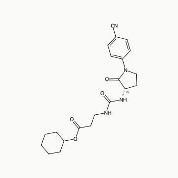 N#Cc1ccc(N2CC[C@H](NC(=O)NCCC(=O)OC3CCCCC3)C2=O)cc1